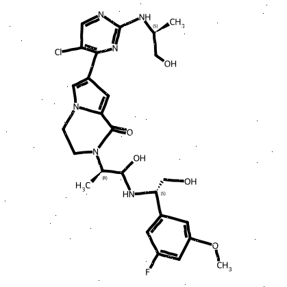 COc1cc(F)cc([C@@H](CO)NC(O)[C@@H](C)N2CCn3cc(-c4nc(N[C@@H](C)CO)ncc4Cl)cc3C2=O)c1